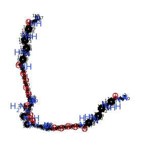 CN(C)CCNC(=O)c1ccc(-c2nc3ccc(-c4ccc5nc(-c6ccc(C(=O)NCCOCCOCCOCCOCc7cn(CCCNCC(=O)N8CCC[C@H]8C(=O)N8CCC[C@H]8C(=O)N(CCCn8cc(COCCOCCOCCOCCNC(=O)c9ccc(-c%10nc%11ccc(-c%12ccc%13nc(-c%14ccc(C(=O)NCCN(C)C)cc%14)[nH]c%13c%12)cc%11[nH]%10)cc9)nn8)CC(N)=O)nn7)cc6)[nH]c5c4)cc3[nH]2)cc1